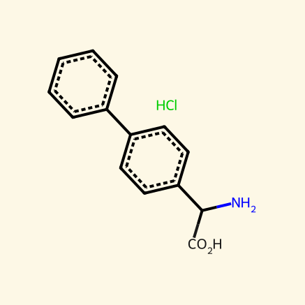 Cl.NC(C(=O)O)c1ccc(-c2ccccc2)cc1